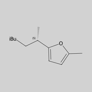 CCC(C)C[C@H](C)c1ccc(C)o1